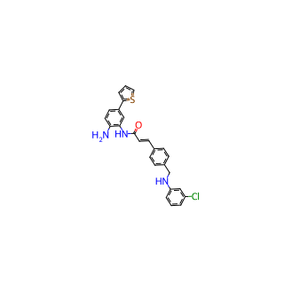 Nc1ccc(-c2cccs2)cc1NC(=O)/C=C/c1ccc(CNc2cccc(Cl)c2)cc1